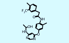 Cc1cc(Oc2cc(NC(C)O)ncn2)ccc1NC(=O)Cc1ccc(C)c(C(F)(F)F)c1